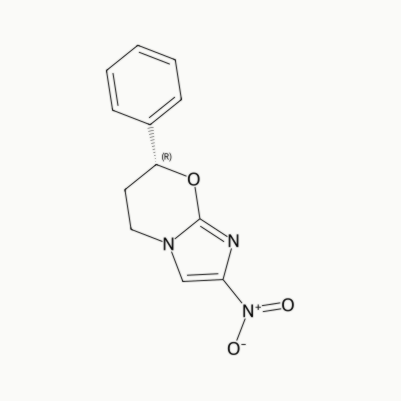 O=[N+]([O-])c1cn2c(n1)O[C@@H](c1ccccc1)CC2